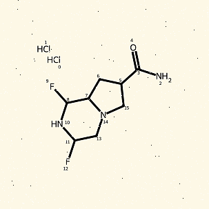 Cl.Cl.NC(=O)C1CC2C(F)NC(F)CN2C1